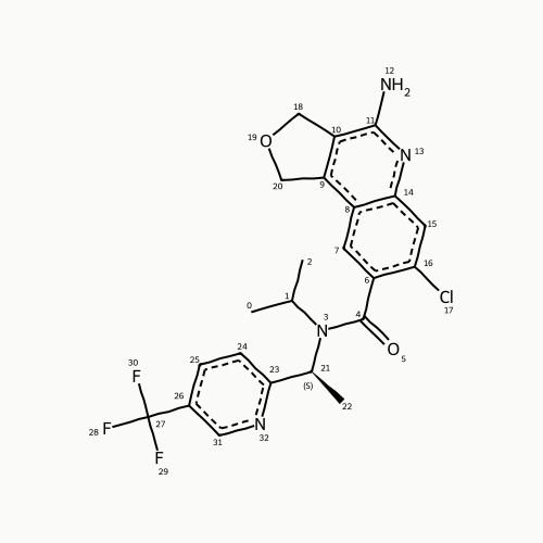 CC(C)N(C(=O)c1cc2c3c(c(N)nc2cc1Cl)COC3)[C@@H](C)c1ccc(C(F)(F)F)cn1